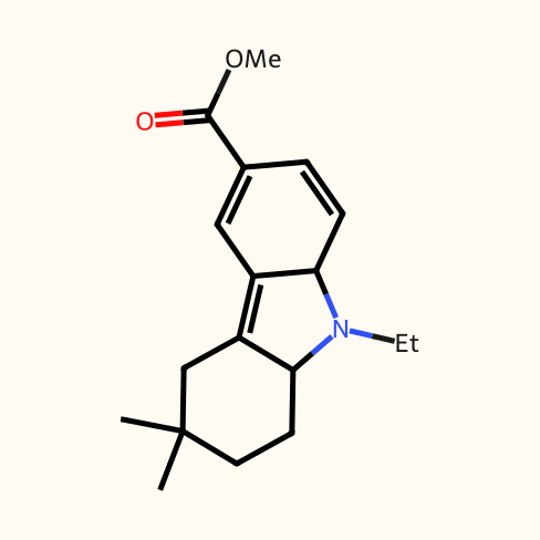 CCN1C2C=CC(C(=O)OC)=CC2=C2CC(C)(C)CCC21